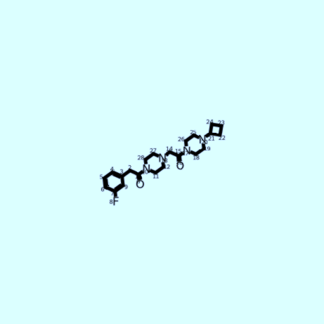 O=C(Cc1cccc(F)c1)N1CCN(CC(=O)N2CCN(C3CCC3)CC2)CC1